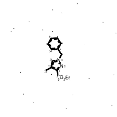 CCOC(=O)c1nn(Cc2ccccc2)cc1C